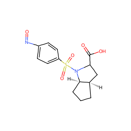 O=Nc1ccc(S(=O)(=O)N2C(C(=O)O)C[C@H]3CCC[C@H]32)cc1